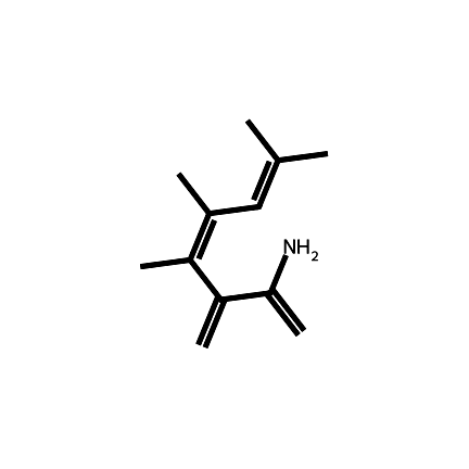 C=C(N)C(=C)/C(C)=C(/C)C=C(C)C